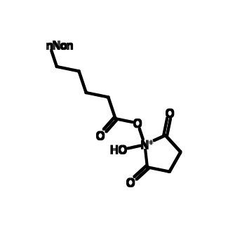 CCCCCCCCCCCCCC(=O)O[N+]1(O)C(=O)CCC1=O